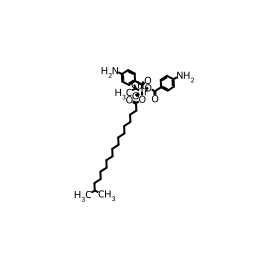 CC(C)CCCCCCCCCCCCCCC(=O)[O][Ti](=[O])([O]C(=O)c1ccc(N)cc1)([C](=O)c1ccc(N)cc1)[CH](C)C